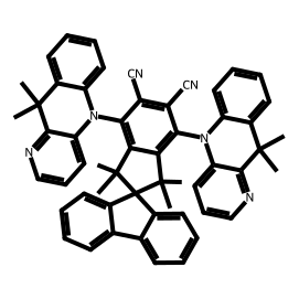 CC1(C)c2ccccc2N(c2c(C#N)c(C#N)c(N3c4ccccc4C(C)(C)c4ncccc43)c3c2C(C)(C)C2(c4ccccc4-c4ccccc42)C3(C)C)c2cccnc21